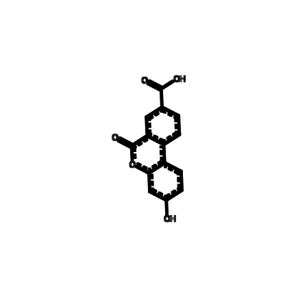 O=C(O)c1ccc2c(c1)c(=O)oc1cc(O)ccc12